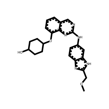 COCc1nc2ccc(Nc3ncc4cccc(OC5CCC(O)CC5)c4n3)cc2[nH]1